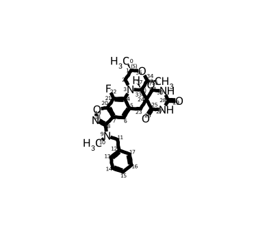 C[C@H]1CN2c3c(cc4c(N(C)Cc5ccccc5)noc4c3F)CC3(C(=O)NC(=O)NC3=O)[C@@H]2[C@@H](C)O1